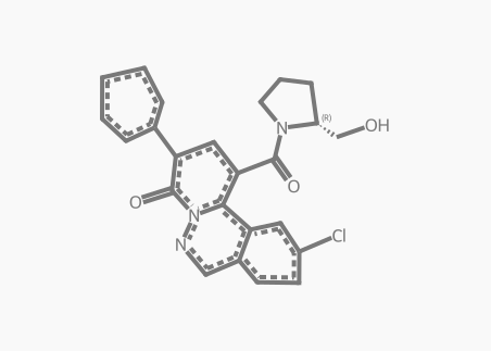 O=C(c1cc(-c2ccccc2)c(=O)n2ncc3ccc(Cl)cc3c12)N1CCC[C@@H]1CO